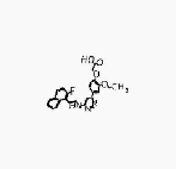 CCOc1cc(-c2cc(NCCc3c(F)ccc4ccccc34)ncn2)ccc1OCC(=O)O